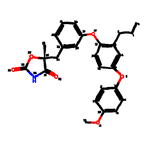 CCCc1cc(Oc2ccc(OC)cc2)ccc1Oc1cccc(C[C@@]2(C)OC(=O)NC2=O)c1